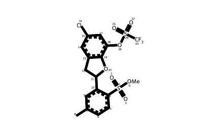 COS(=O)(=O)c1ccc(C)cc1C1Cc2cc(Cl)cc(OS(=O)(=O)C(F)(F)F)c2O1